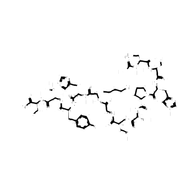 CC(=O)N[C@@H](CS)C(=O)N[C@@H](CS)C(=O)N[C@@H](Cc1c[nH]cn1)C(=O)N1CCC[C@H]1C(=O)N[C@@H](C)C(=O)N[C@@H](CS)C(=O)NCC(=O)N[C@@H](CCCCN)C(=O)N[C@@H](Cc1c[nH]cn1)C(=O)N[C@@H](Cc1ccc(O)cc1)C(=O)N[C@@H](CO)C(=O)N[C@@H](CS)C(N)=O